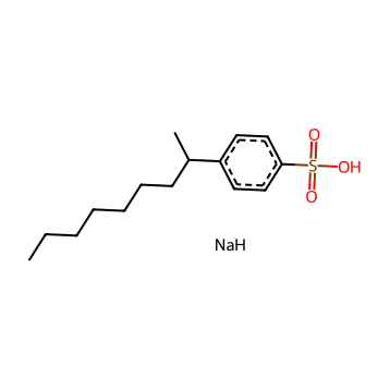 CCCCCCCC(C)c1ccc(S(=O)(=O)O)cc1.[NaH]